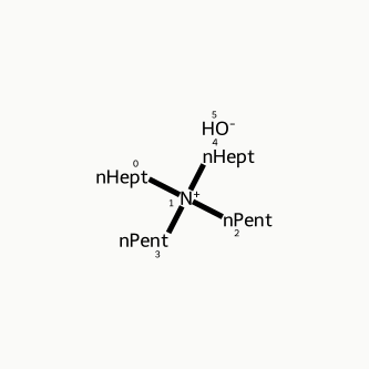 CCCCCCC[N+](CCCCC)(CCCCC)CCCCCCC.[OH-]